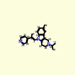 C/C(=C\n1c2c(c3cc(C)ccc31)CN(C(C)C)CC2)c1ccncc1